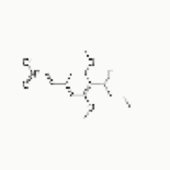 [CH2]CCCC(F)c1c(OC)cc(/C=C/[N+](=O)[O-])cc1OC